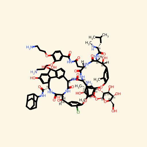 CN[C@H](CC(C)C)C(=O)N[C@H]1C(=O)N[C@@H](CC(=O)NC(=O)c2ccc(OCCCN)c(OCCCN)c2)C(=O)N[C@H]2C(=O)N[C@H]3C(=O)N[C@H](C(=O)N[C@H](C(=O)NC4C5CC6CC(C5)CC4C6)c4cc(O)cc5c4-c4cc3ccc4C5(O)O)[C@H](O)c3ccc(c(Cl)c3)Oc3cc2cc(c3O[C@@H]2O[C@H](CO)[C@@H](O)[C@H](O)[C@H]2O[C@H]2C[C@](C)(N)[C@H](O)[C@H](C)O2)Oc2ccc(cc2C)[C@H]1O